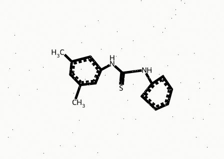 Cc1cc(C)cc(NC(=S)Nc2ccccc2)c1